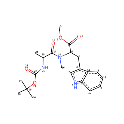 COC(=O)C(Cc1c[nH]c2ccccc12)N(C)C(=O)C(C)NC(=O)OC(C)(C)C